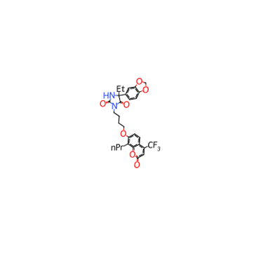 CCCc1c(OCCCCN2C(=O)NC(CC)(c3ccc4c(c3)OCO4)C2=O)ccc2c(C(F)(F)F)cc(=O)oc12